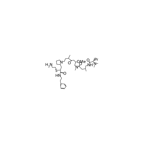 COC(CC(=O)C(C)CCN1CCCC1CC(SCCN)C(=O)NCCc1ccccc1)CN(C)C(=O)CC(C)CNC(=O)C(C(C)C)N(C)C